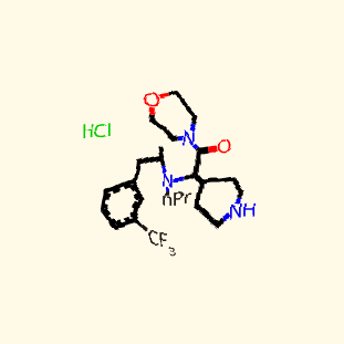 CCCN(C(C)Cc1cccc(C(F)(F)F)c1)C(C(=O)N1CCOCC1)C1CCNCC1.Cl